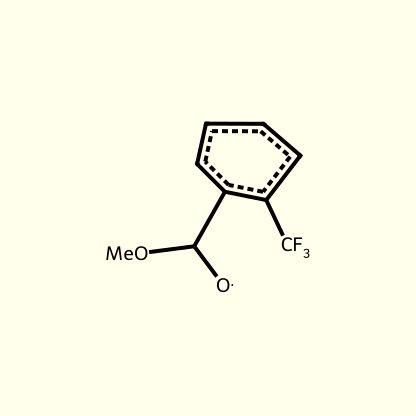 COC([O])c1ccccc1C(F)(F)F